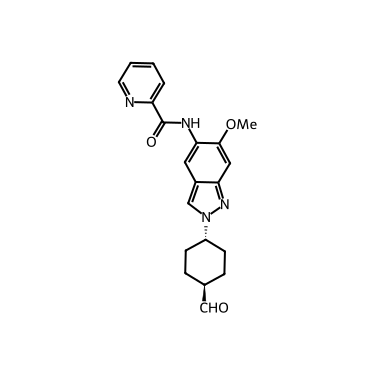 COc1cc2nn([C@H]3CC[C@H](C=O)CC3)cc2cc1NC(=O)c1ccccn1